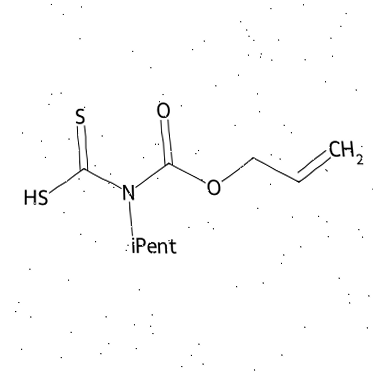 C=CCOC(=O)N(C(=S)S)C(C)CCC